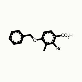 Cc1c(OCc2ccccc2)ccc(C(=O)O)c1Br